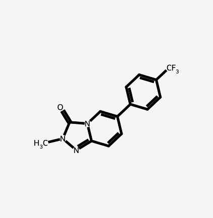 Cn1nc2ccc(-c3ccc(C(F)(F)F)cc3)cn2c1=O